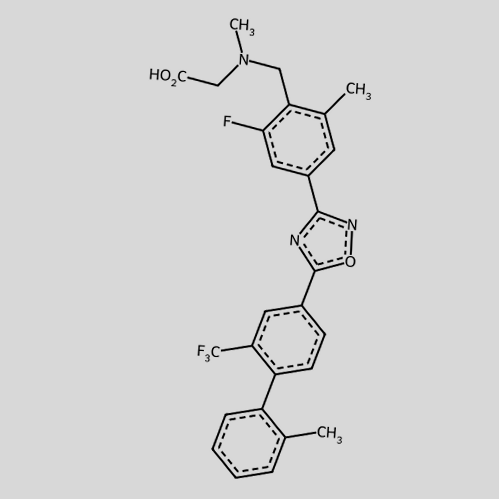 Cc1ccccc1-c1ccc(-c2nc(-c3cc(C)c(CN(C)CC(=O)O)c(F)c3)no2)cc1C(F)(F)F